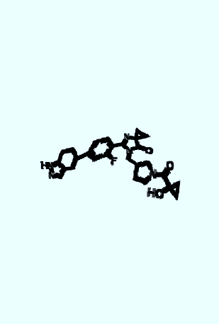 O=C(N1CC[C@@H](CN2C(=O)C3(CC3)N=C2c2ccc(C3=Cc4cn[nH]c4CC3)cc2F)C1)C1(O)CC1